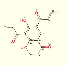 C=CC(=O)c1c(O)c(C(=O)/C=C/C)cc2c1OCCC2=O